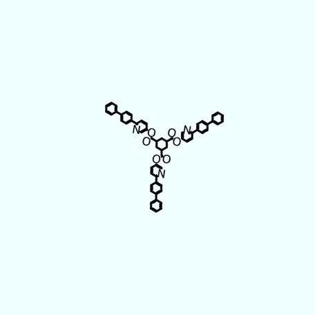 O=C(Oc1ccc(-c2ccc(-c3ccccc3)cc2)nc1)C1CC(C(=O)Oc2ccc(-c3ccc(-c4ccccc4)cc3)nc2)CC(C(=O)Oc2ccc(-c3ccc(-c4ccccc4)cc3)nc2)C1